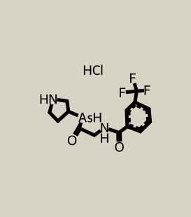 Cl.O=C(CNC(=O)c1cccc(C(F)(F)F)c1)[AsH]C1CCNC1